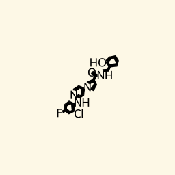 O=C(NCCc1ccccc1O)c1ccn(-c2ccnc(Nc3ccc(F)cc3Cl)c2)c1